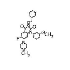 COc1cccc(-n2c(=O)n(OCc3ccccc3)c(=O)c3cc(F)c(N4CCN(C)CC4)cc32)c1